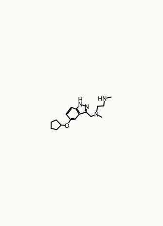 CNCCN(C)Cc1n[nH]c2ccc(OC3CCCC3)cc12